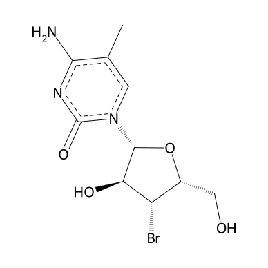 Cc1cn([C@@H]2O[C@H](CO)[C@H](Br)[C@H]2O)c(=O)nc1N